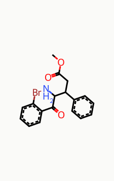 COC(=O)CC(c1ccccc1)C(N)C(=O)c1ccccc1Br